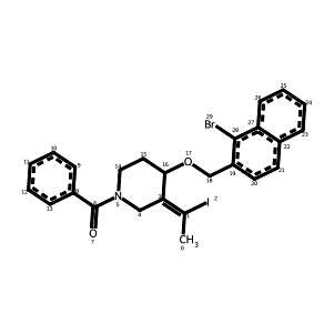 CC(I)=C1CN(C(=O)c2ccccc2)CCC1OCc1ccc2ccccc2c1Br